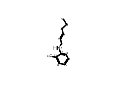 CCCC=CCNc1ccccc1F